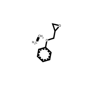 C=C.c1ccc(OCC2CO2)cc1